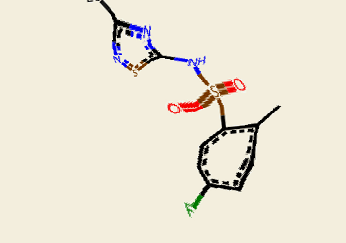 CCc1nsc(NS(=O)(=O)c2cc(F)ccc2C)n1